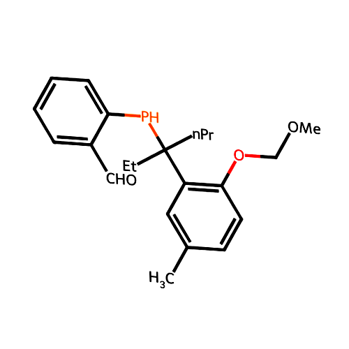 CCCC(CC)(Pc1ccccc1C=O)c1cc(C)ccc1OCOC